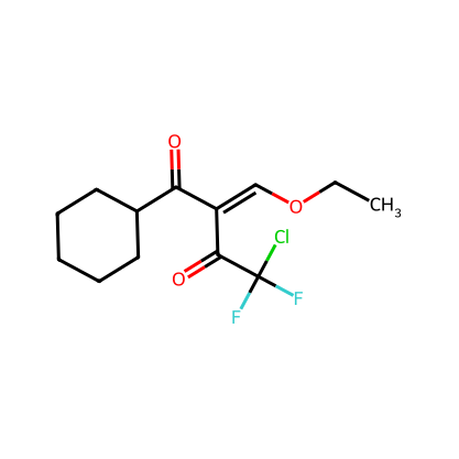 CCOC=C(C(=O)C1CCCCC1)C(=O)C(F)(F)Cl